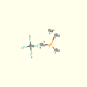 CC(C)(C)P(C(C)(C)C)C(C)(C)C.F[B-](F)(F)F.[Na+]